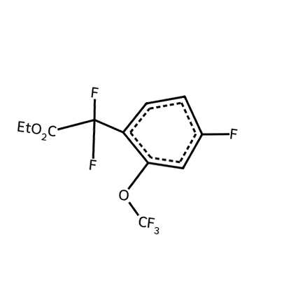 CCOC(=O)C(F)(F)c1ccc(F)cc1OC(F)(F)F